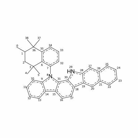 CC1CC(C)(C)c2c(-n3c4ccccc4c4ccc5c6cc7ccccc7cc6[nH]c5c43)cccc2C1(C)C